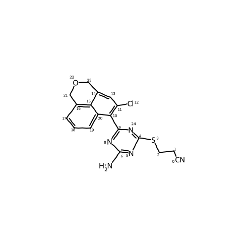 N#CCCSc1nc(N)nc(-c2c(Cl)cc3c4c(cccc24)COC3)n1